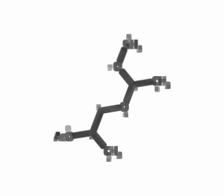 CC(=O)OC(C)COC(C)O[SiH3]